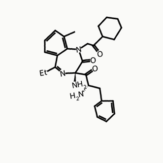 CCC1=N[C@@](N)(C(=O)[C@@H](N)Cc2ccccc2)C(=O)N(CC(=O)C2CCCCC2)c2c(C)cccc21